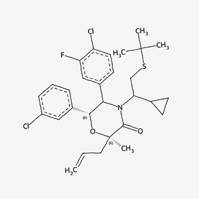 C=CC[C@@]1(C)O[C@H](c2cccc(Cl)c2)C(c2ccc(Cl)c(F)c2)N(C(CSC(C)(C)C)C2CC2)C1=O